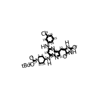 CC(C)(C)OC(=O)N1CCC(Nc2cc(Nc3cccc(Cl)c3)nc3c(C=C4NC(=O)NC4=O)cnn23)CC1